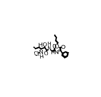 CCCCOC(=O)[C@@H](NC(=O)CNC(=O)C(O)C(CCC)NCl)c1ccccc1